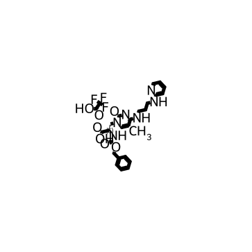 Cc1cn(C[C@H](NC(=O)OCc2ccccc2)C(=O)O)c(=O)nc1NCCCNc1ccccn1.O=C(O)C(F)(F)F